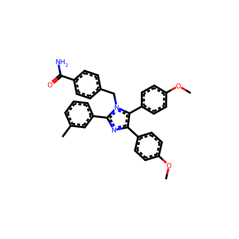 COc1ccc(-c2nc(-c3cccc(C)c3)n(Cc3ccc(C(N)=O)cc3)c2-c2ccc(OC)cc2)cc1